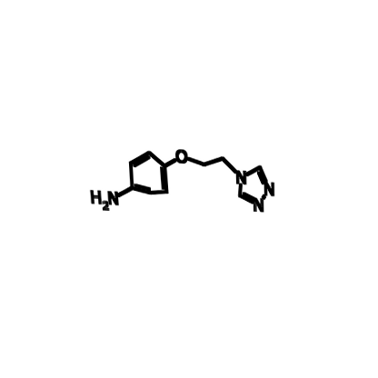 Nc1ccc(OCCn2cnnc2)cc1